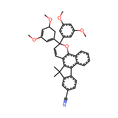 COC1=CC(OC)CC(C2(c3cc(OC)cc(OC)c3)C=Cc3c4c(c5ccccc5c3O2)-c2ccc(C#N)cc2C4(C)C)=C1